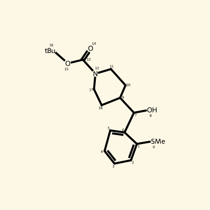 CSc1ccccc1C(O)C1CCN(C(=O)OC(C)(C)C)CC1